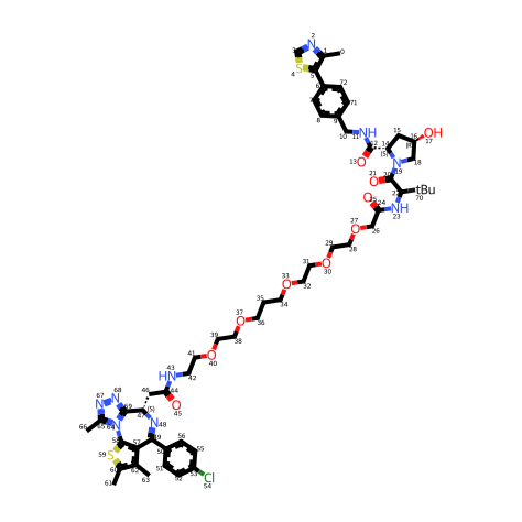 Cc1ncsc1-c1ccc(CNC(=O)[C@@H]2C[C@@H](O)CN2C(=O)C(NC(=O)COCCOCCOCCCOCCOCCNC(=O)C[C@@H]2N=C(c3ccc(Cl)cc3)c3c(sc(C)c3C)-n3c(C)nnc32)C(C)(C)C)cc1